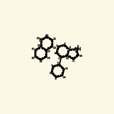 c1ccc(-c2cccc3[nH]ccc23)cc1.c1ccc2ncccc2c1